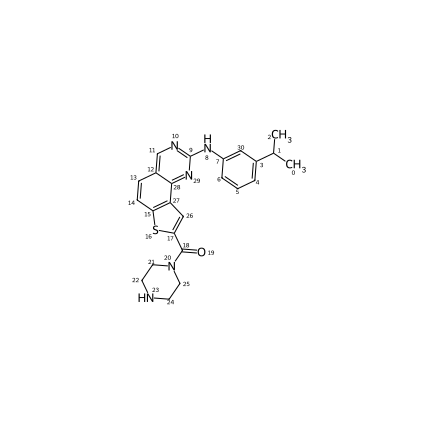 CC(C)c1cccc(Nc2ncc3ccc4sc(C(=O)N5CCNCC5)cc4c3n2)c1